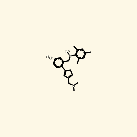 Cc1cc(C)c([N]([Ti+2])Cc2ccccc2C2=CC(CN(C)C)=CC2)c(C)c1.[Cl-].[Cl-]